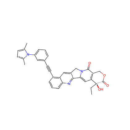 CC[C@@]1(O)C(=O)OCc2c1cc1n(c2=O)Cc2cc3c(C#Cc4cccc(-n5c(C)ccc5C)c4)cccc3nc2-1